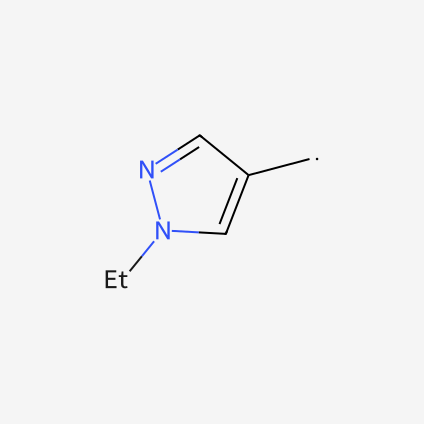 [CH2]c1cnn(CC)c1